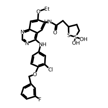 CCOc1cc2ncnc(Nc3ccc(OCc4cccc(F)c4)c(Cl)c3)c2cc1NC(=O)CC1CCS(O)(O)S1